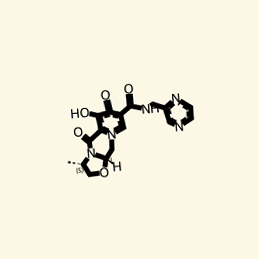 C[C@H]1CO[C@@H]2Cn3cc(C(=O)NCc4cnccn4)c(=O)c(O)c3C(=O)N12